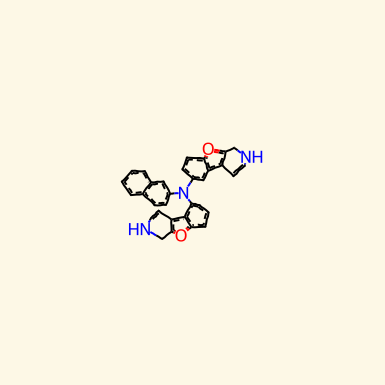 C1=Cc2c(oc3ccc(N(c4ccc5ccccc5c4)c4cccc5oc6c(c45)C=CNC6)cc23)CN1